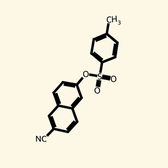 Cc1ccc(S(=O)(=O)Oc2ccc3cc(C#N)ccc3c2)cc1